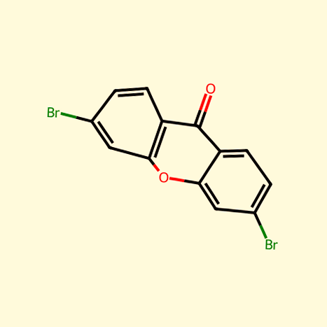 O=c1c2ccc(Br)cc2oc2cc(Br)ccc12